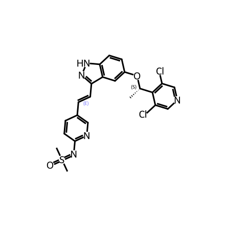 C[C@H](Oc1ccc2[nH]nc(/C=C/c3ccc(N=S(C)(C)=O)nc3)c2c1)c1c(Cl)cncc1Cl